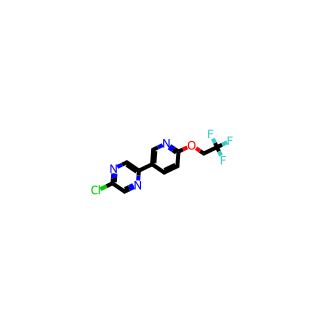 FC(F)(F)COc1ccc(-c2cnc(Cl)cn2)cn1